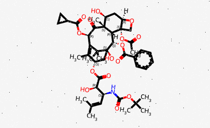 CC(=O)O[C@@]12CO[C@@H]1C[C@H](O)[C@@]1(C)C(=O)[C@H](OC(=O)C3CC3)C3=C(C)[C@@H](OC(=O)[C@H](O)[C@H](C=C(C)C)NC(=O)OC(C)(C)C)C[C@@](O)([C@@H](OC(=O)c4ccccc4)[C@H]21)C3(C)C